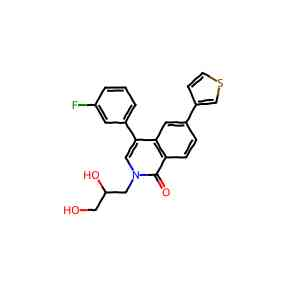 O=c1c2ccc(-c3ccsc3)cc2c(-c2cccc(F)c2)cn1CC(O)CO